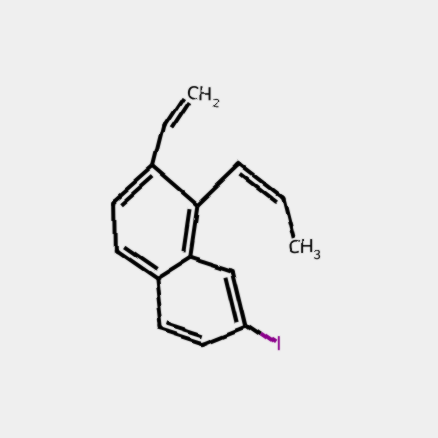 C=Cc1ccc2ccc(I)cc2c1/C=C\C